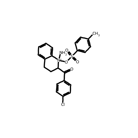 Cc1ccc(S(=O)(=O)O[N+]2(N)c3ccccc3CCC2C(=O)c2ccc(Cl)cc2)cc1